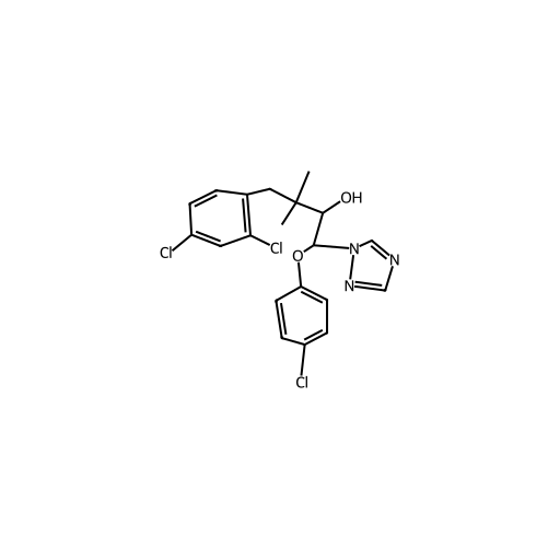 CC(C)(Cc1ccc(Cl)cc1Cl)C(O)C(Oc1ccc(Cl)cc1)n1cncn1